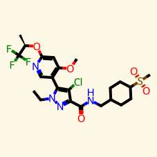 CCn1nc(C(=O)NCC2CCC(S(C)(=O)=O)CC2)c(Cl)c1-c1cnc(O[C@H](C)C(F)(F)F)cc1OC